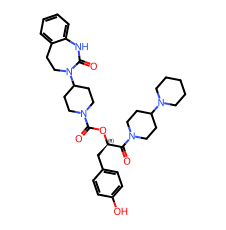 O=C(O[C@H](Cc1ccc(O)cc1)C(=O)N1CCC(N2CCCCC2)CC1)N1CCC(N2CCc3ccccc3NC2=O)CC1